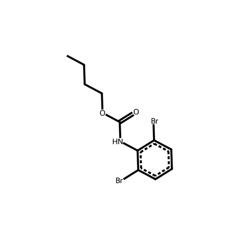 CCCCOC(=O)Nc1c(Br)cccc1Br